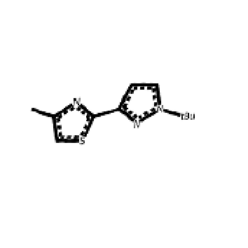 Cc1csc(-c2ccn(C(C)(C)C)n2)n1